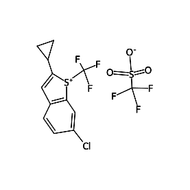 FC(F)(F)[s+]1c(C2CC2)cc2ccc(Cl)cc21.O=S(=O)([O-])C(F)(F)F